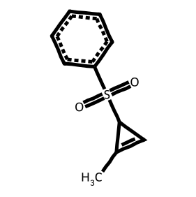 CC1=CC1S(=O)(=O)c1ccccc1